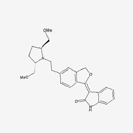 COC[C@@H]1CC[C@@H](COC)N1CCc1ccc2c(c1)CO/C2=C1/C(=O)Nc2ccccc21